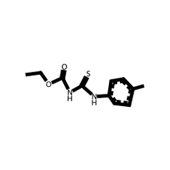 CCOC(=O)NC(=S)Nc1ccc(C)cc1